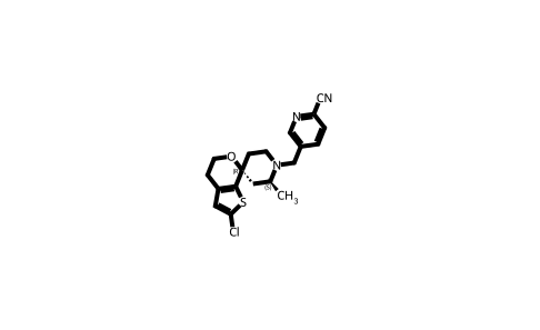 C[C@H]1C[C@@]2(CCN1Cc1ccc(C#N)nc1)OCCc1cc(Cl)sc12